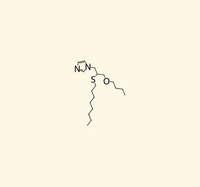 CCCCCCCCSC(COCCCC)Cn1ccnc1